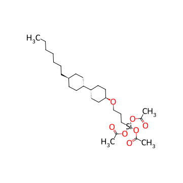 CCCCCCC[C@H]1CC[C@H]([C@H]2CC[C@H](OCCC[Si](OC(C)=O)(OC(C)=O)OC(C)=O)CC2)CC1